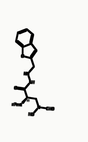 CCCCC[C@H](CN(O)C=O)C(=O)NNCc1cc2ccccc2o1